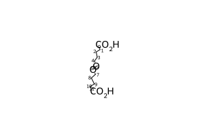 O=C(O)CCCCOOCCCCC(=O)O